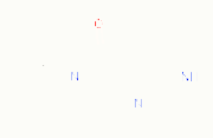 CC1(C)CCCN1C(=O)c1c[nH]cn1